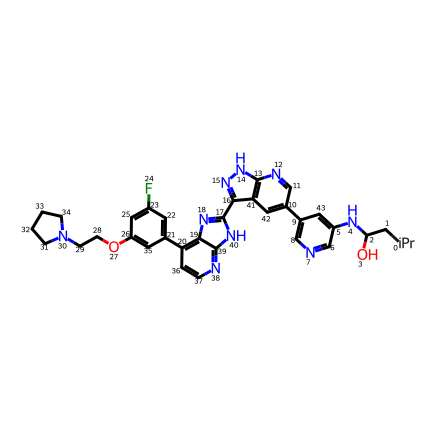 CC(C)CC(O)Nc1cncc(-c2cnc3[nH]nc(-c4nc5c(-c6cc(F)cc(OCCN7CCCC7)c6)ccnc5[nH]4)c3c2)c1